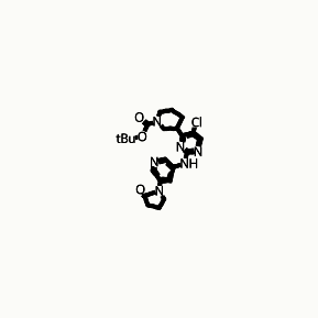 CC(C)(C)OC(=O)N1CCCC(c2nc(Nc3cncc(N4CCCC4=O)c3)ncc2Cl)C1